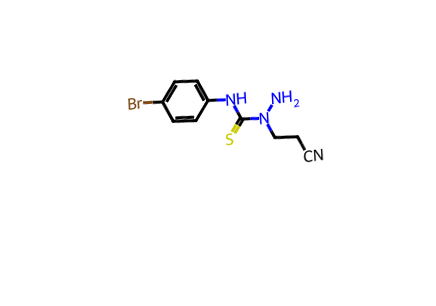 N#CCCN(N)C(=S)Nc1ccc(Br)cc1